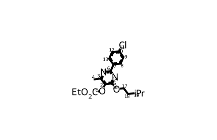 CCOC(=O)Oc1c(C)nc(-c2ccc(Cl)cc2)nc1OCCC(C)C